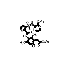 COC(=O)Cc1c(C)cc(C)c(NC(=O)c2sccc2S(=O)(=O)Nc2nccnc2OC)c1C